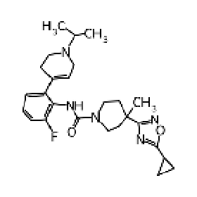 CC(C)N1CC=C(c2cccc(F)c2NC(=O)N2CCC(C)(c3noc(C4CC4)n3)CC2)CC1